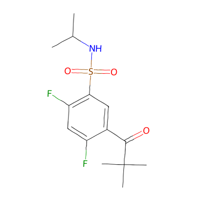 CC(C)NS(=O)(=O)c1cc(C(=O)C(C)(C)C)c(F)cc1F